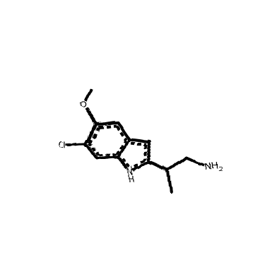 COc1cc2cc(C(C)CN)[nH]c2cc1Cl